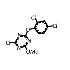 COc1nc(Cl)nc(Oc2ccc(Cl)cc2Cl)n1